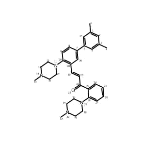 Cc1cc(C)cc(-c2ccc(N3CCN(C)CC3)c(C=CC(=O)c3ccccc3N3CCN(C)CC3)c2)c1